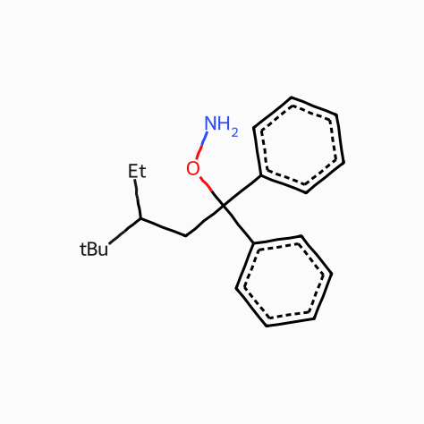 CCC(CC(ON)(c1ccccc1)c1ccccc1)C(C)(C)C